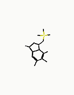 CC1=CC2C(C)CC(CS(C)(C)C)C2C(C)=C1C